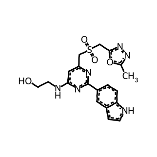 Cc1nnc(CS(=O)(=O)Cc2cc(NCCO)nc(-c3ccc4[nH]ccc4c3)n2)o1